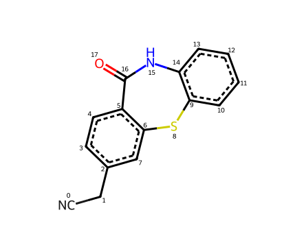 N#CCc1ccc2c(c1)Sc1ccccc1NC2=O